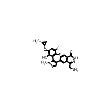 C[C@@H]1C[C@H]1Oc1cc(Cl)c(F)c(-c2c(-c3ccc4c(=O)[nH]nc(CN)c4c3)cnn2C)c1C#N